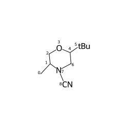 CC1COC(C(C)(C)C)CN1C#N